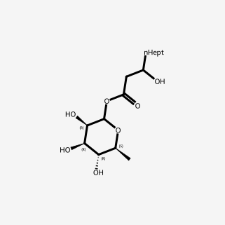 CCCCCCCC(O)CC(=O)OC1O[C@@H](C)[C@H](O)[C@@H](O)[C@H]1O